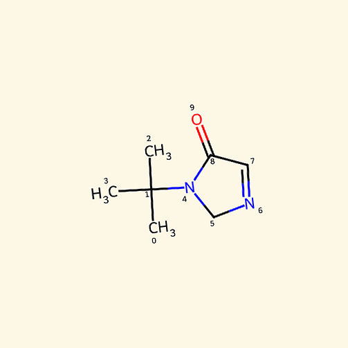 CC(C)(C)N1CN=CC1=O